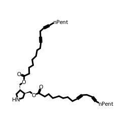 CCCCCC#CCC#CCCCCCCCC(=O)OC[C@H]1CNC[C@@H]1COC(=O)CCCCCCCC#CCC#CCCCCC